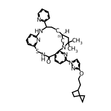 CC1(C)C[C@@H]2CCC(c3ccccn3)Nc3cccc(n3)SNC(=O)c3ccc(-n4ccc(OCCC5CCC56CC6)n4)nc3N1C2